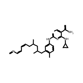 C=N/C=C\C=C/CC(C)CC(C)Cc1cc(NC(=C)/N=C(NC2CC2)\C(=C/C)C(=C)N)ccc1C